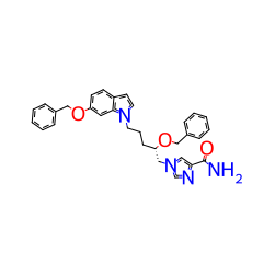 NC(=O)c1cn(C[C@H](CCCn2ccc3ccc(OCc4ccccc4)cc32)OCc2ccccc2)cn1